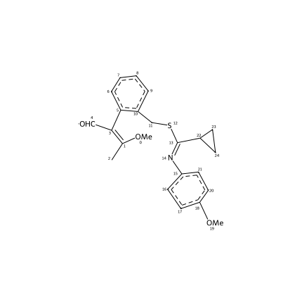 CO/C(C)=C(/[C]=O)c1ccccc1CSC(=Nc1ccc(OC)cc1)C1CC1